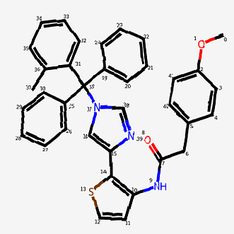 COc1ccc(CC(=O)Nc2ccsc2-c2cn(C(c3ccccc3)(c3ccccc3)c3ccccc3C)cn2)cc1